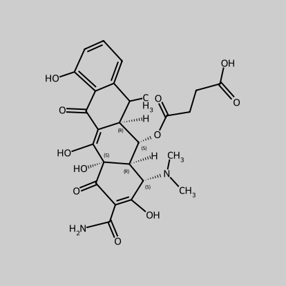 CC1c2cccc(O)c2C(=O)C2=C(O)[C@]3(O)C(=O)C(C(N)=O)=C(O)[C@@H](N(C)C)[C@@H]3[C@@H](OC(=O)CCC(=O)O)[C@@H]21